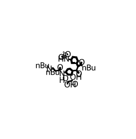 CCCCc1oc2ccc(NS(C)(=O)=O)cc2c1C(=O)c1ccc(NC(=O)CCN(CCCC)CCCC)cc1.O=C(O)C(=O)O